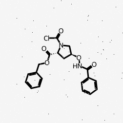 O=C(NO[C@H]1C[C@H](C(=O)OCc2ccccc2)N(C(=O)Cl)C1)c1ccccc1